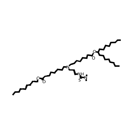 CCCCCCCCCOC(=O)CCCCCCCN(CCCCCCCC(=O)OC(CCCCCCCC)CCCCCCCC)CCCNC(=S)N(C)C